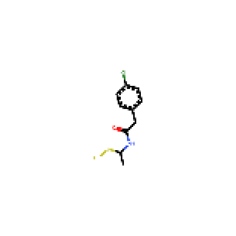 CC(NC(=O)Cc1ccc(Cl)cc1)SS